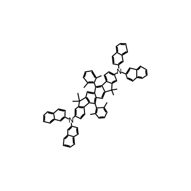 Cc1cccc(C)c1-c1c2c(cc3c(-c4c(C)cccc4C)c4c(cc13)C(C)(C)c1cc(N(c3ccc5ccccc5c3)c3ccc5ccccc5c3)ccc1-4)C(C)(C)c1cc(N(c3ccc4ccccc4c3)c3ccc4ccccc4c3)ccc1-2